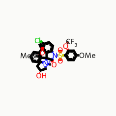 C=Cc1ccccc1C1([N+]2(C)C[C@H](O)C[C@H]2C(=O)NC)C(=O)N(S(=O)(=O)c2ccc(OC)cc2OC(F)(F)F)c2ccc(Cl)cc21